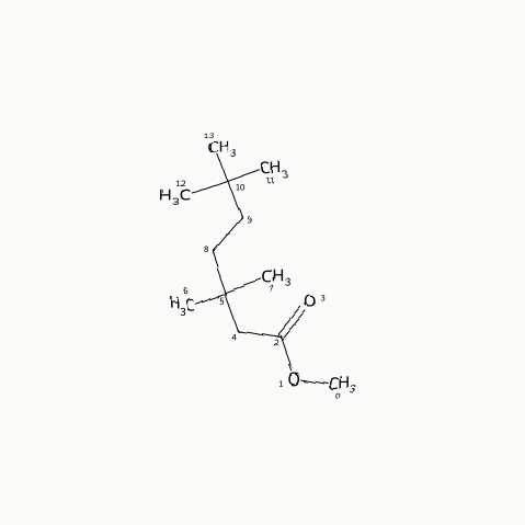 COC(=O)CC(C)(C)CCC(C)(C)C